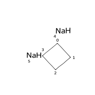 C1CCC1.[NaH].[NaH]